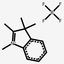 CC1=[N+](C)c2ccccc2C1(C)C.F[B-](F)(F)F